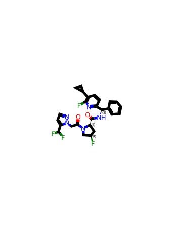 O=C(N[C@@H](c1ccccc1)c1ccc(C2CC2)c(F)n1)[C@@H]1C[C@@H](F)CN1C(=O)Cn1nccc1C(F)F